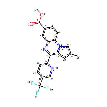 COC(=O)c1ccc2c(c1)nc(-c1ccc(C(F)(F)F)cn1)c1cc(C)cn12